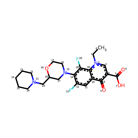 CCn1cc(C(=O)O)c(=O)c2cc(F)c(N3CCOC(CN4CCCCC4)C3)c(F)c21